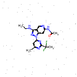 CCNc1nn(-c2cc(C)nc(C(C)(F)F)n2)c2cc(NC(C)=O)ncc12